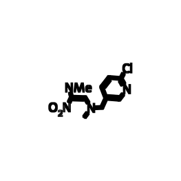 CNC(=CN(C)Cc1ccc(Cl)nc1)[N+](=O)[O-]